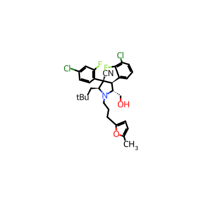 Cc1ccc(CCCN2[C@@H](CC(C)(C)C)[C@](C#N)(c3ccc(Cl)cc3F)[C@@H](c3cccc(Cl)c3F)[C@@H]2CO)o1